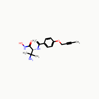 C=C(N[C@@H](C(=O)NO)C(C)(C)N)c1ccc(OCC#CC)cc1